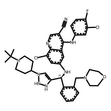 CC(C)(C)N1CCC(N2C=C([C@@H](Nc3cc(Cl)c4ncc(C#N)c(Nc5ccc(F)c(Cl)c5)c4c3)c3ccccc3CN3CCOCC3)NN2)CC1